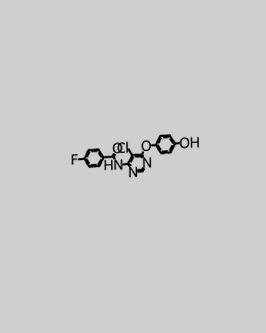 O=C(Nc1ncnc(Oc2ccc(O)cc2)c1Cl)c1ccc(F)cc1